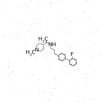 C=C(NCCCc1ccc(-c2ccccc2F)cc1)C1CCN(C)CC1